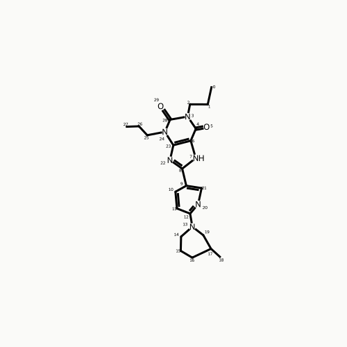 CCCn1c(=O)c2[nH]c(-c3ccc(N4CCCC(C)C4)nc3)nc2n(CCC)c1=O